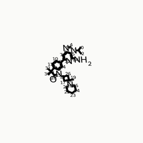 CC(C)n1cnc2cc(-c3ccc4c(c3)N(C3CC(C)(N5CCCCC5)C3)C(=O)C4(C)C)nc(N)c21